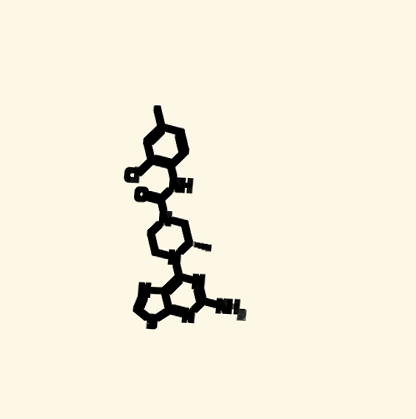 Cc1ccc(NC(=O)N2CCN(c3nc(N)nc4scnc34)[C@@H](C)C2)c(Cl)c1